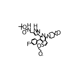 COCCOc1cc(F)ccc1-c1c(-c2cc(CNC(=O)OC(C)(C)C)[nH]n2)nc(N2CCC3(CC2)COC3)c2ccsc12